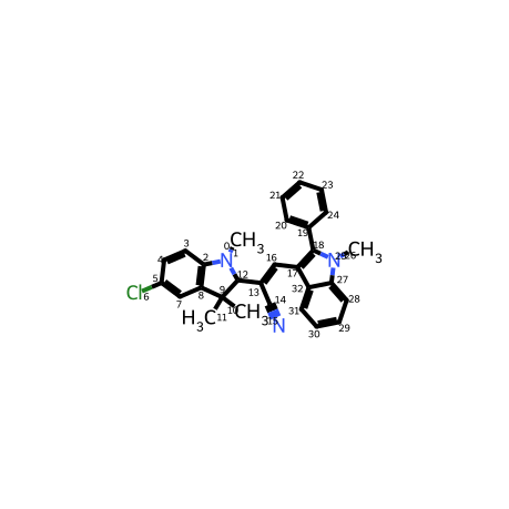 CN1c2ccc(Cl)cc2C(C)(C)C1/C(C#N)=C/c1c(-c2ccccc2)n(C)c2ccccc12